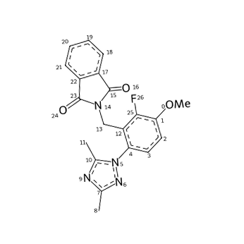 COc1ccc(-n2nc(C)nc2C)c(CN2C(=O)c3ccccc3C2=O)c1F